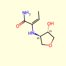 CC=C(N[C@@H]1COC[C@H]1O)C(N)=O